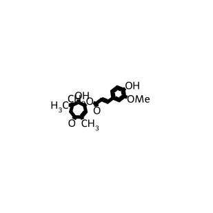 COc1cc(/C=C/C(=O)OC2C=C(C)C(=O)CC(C)(C)C2O)ccc1O